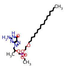 CCCCCCCCCCCCCCCCCCOCCOP(=O)(COC(C)Cn1cnc2c(=O)[nH]c(N)nc21)OCC